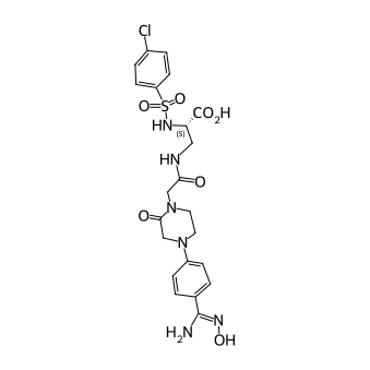 NC(=NO)c1ccc(N2CCN(CC(=O)NC[C@H](NS(=O)(=O)c3ccc(Cl)cc3)C(=O)O)C(=O)C2)cc1